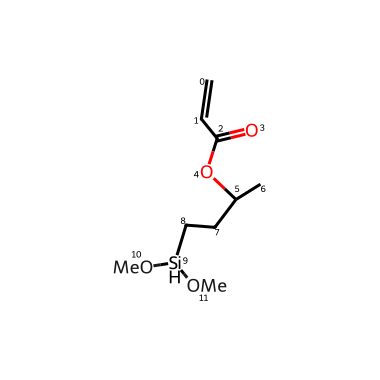 C=CC(=O)OC(C)CC[SiH](OC)OC